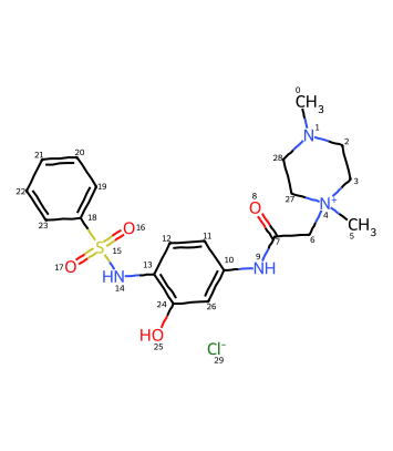 CN1CC[N+](C)(CC(=O)Nc2ccc(NS(=O)(=O)c3ccccc3)c(O)c2)CC1.[Cl-]